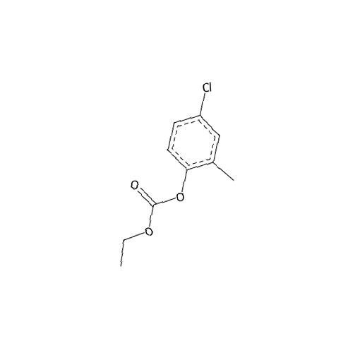 CCOC(=O)Oc1ccc(Cl)cc1C